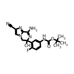 CC(C)(C)OC(=O)Nc1ccc(F)c(C2(C)Cn3cc(C#N)nc3C(N)=N2)c1